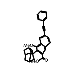 COC(=O)c1cc2ccc(C#Cc3ccccc3)cc2c(OC)c1C12CC3CC(CC(C3)C1)C2